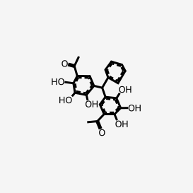 CC(=O)c1cc(C(c2ccccc2)c2cc(C(C)=O)c(O)c(O)c2O)c(O)c(O)c1O